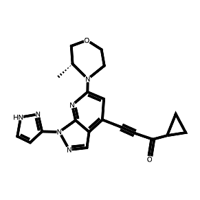 C[C@@H]1COCCN1c1cc(C#CC(=O)C2CC2)c2cnn(-c3cc[nH]n3)c2n1